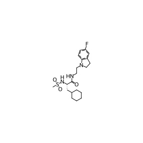 CS(=O)(=O)N[C@@H](CC1CCCCC1)C(=O)NCCN1CCc2cc(F)ccc21